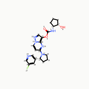 O=C(N[C@@H]1CCC[C@@H]1O)Oc1cnn2ccc(N3CCC[C@@H]3c3cncc(F)c3)nc12